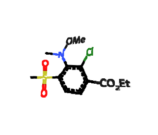 CCOC(=O)c1ccc(S(C)(=O)=O)c(N(C)OC)c1Cl